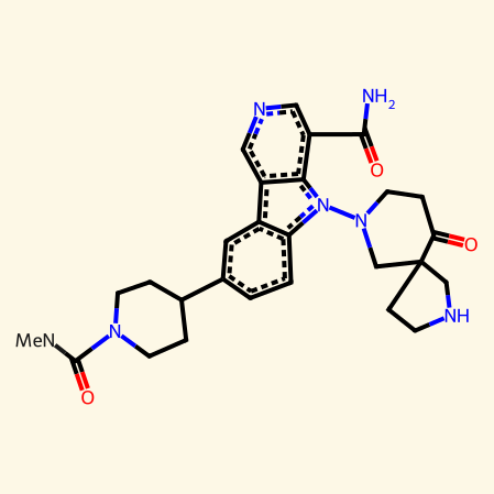 CNC(=O)N1CCC(c2ccc3c(c2)c2cncc(C(N)=O)c2n3N2CCC(=O)C3(CCNC3)C2)CC1